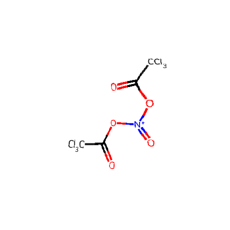 O=C(O[N+](=O)OC(=O)C(Cl)(Cl)Cl)C(Cl)(Cl)Cl